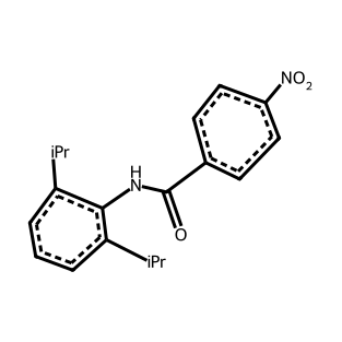 CC(C)c1cccc(C(C)C)c1NC(=O)c1ccc([N+](=O)[O-])cc1